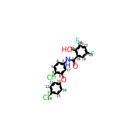 O=C(Nc1ccc(Cl)c(Oc2ccc(Cl)cc2)c1)c1cc(F)cc(F)c1O